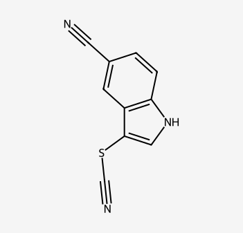 N#CSc1c[nH]c2ccc(C#N)cc12